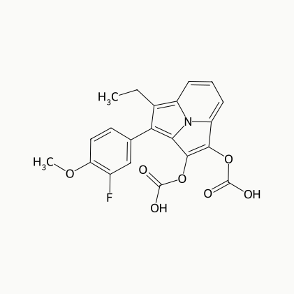 CCc1c(-c2ccc(OC)c(F)c2)c2c(OC(=O)O)c(OC(=O)O)c3cccc1n32